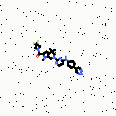 Cn1c(C(=O)N2CC(F)(F)C2)cc2c1CN(c1nccc(Nc3ccc(-c4cn[nH]c4)cc3)n1)CC2(C)C